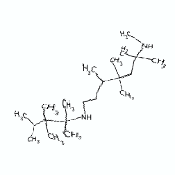 CNC(C)(C)CC(C)(C)C(C)CCNC(C)(C)C(C)(C)C(C)C